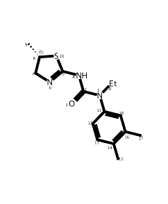 CCN(C(=O)NC1=NC[C@H](C)S1)c1ccc(C)c(C)c1